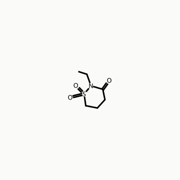 CCN1C(=O)CCCS1(=O)=O